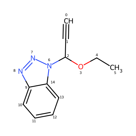 C#CC(OCC)n1nnc2ccccc21